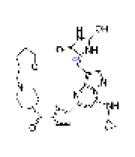 O=C1NC(O)N/C1=C\c1cnn2c(NC3CC3)cc(-c3ccc(C(=O)N4CCN(CC5CCCO5)CC4)s3)nc12